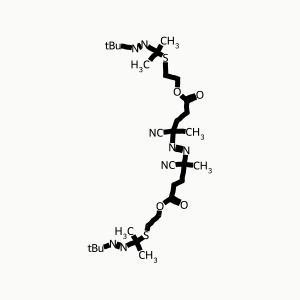 CC(C)(C)N=NC(C)(C)SCCOC(=O)CCC(C)(C#N)N=NC(C)(C#N)CCC(=O)OCCSC(C)(C)N=NC(C)(C)C